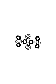 c1ccc2c(c1)Oc1ccccc1N2c1ccc(-c2ccc(N3c4ccccc4Oc4ccccc43)cc2-c2ncncn2)c(-c2ncncn2)c1